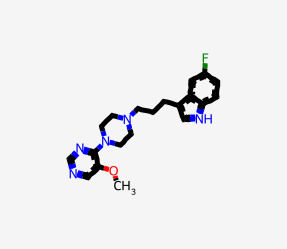 COc1cncnc1N1CCN(CCCc2c[nH]c3ccc(F)cc23)CC1